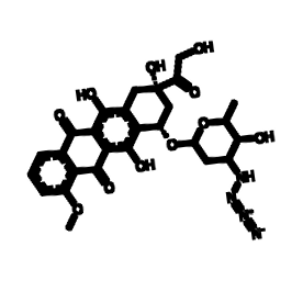 COc1cccc2c1C(=O)c1c(O)c3c(c(O)c1C2=O)C[C@@](O)(C(=O)CO)C[C@@H]3OC1CC(NN=[N+]=[N-])C(O)C(C)O1